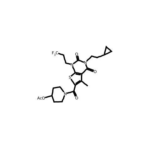 CC(=O)OC1CCN(C(=O)c2sc3c(c2C)c(=O)n(CCC2CC2)c(=O)n3CCC(F)(F)F)CC1